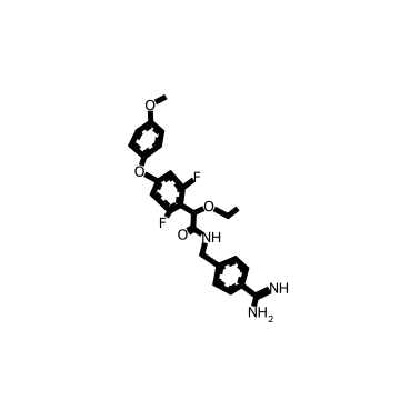 CCOC(C(=O)NCc1ccc(C(=N)N)cc1)c1c(F)cc(Oc2ccc(OC)cc2)cc1F